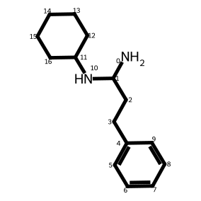 NC(CCc1ccccc1)NC1CCCCC1